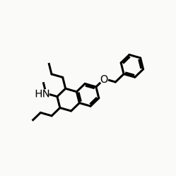 CCCC1Cc2ccc(OCc3ccccc3)cc2C(CCC)C1NC